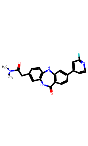 CN(C)C(=O)Cc1ccc2c(c1)NC(=O)c1ccc(-c3ccnc(F)c3)cc1N2